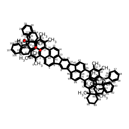 Cc1c(-c2ccc3c4cc5c(cc4c4ccc(-c6cc7c(c(C)c6C)N(c6ccccc6)C6(C)CCCCC76C)c2c34)c2ccc(-c3cc4c(c(C)c3C)N(c3ccccc3)C3(C)CCCCC43C)c3c(-c4cc6c(c(C)c4C)N(c4ccccc4)C4(C)CCCCC64C)ccc5c32)cc2c(c1C)N(c1ccccc1)C1(C)CCCCC21C